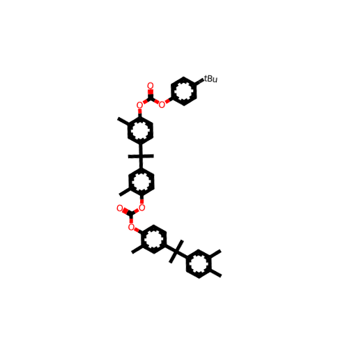 Cc1ccc(C(C)(C)c2ccc(OC(=O)Oc3ccc(C(C)(C)c4ccc(OC(=O)Oc5ccc(C(C)(C)C)cc5)c(C)c4)cc3C)c(C)c2)cc1C